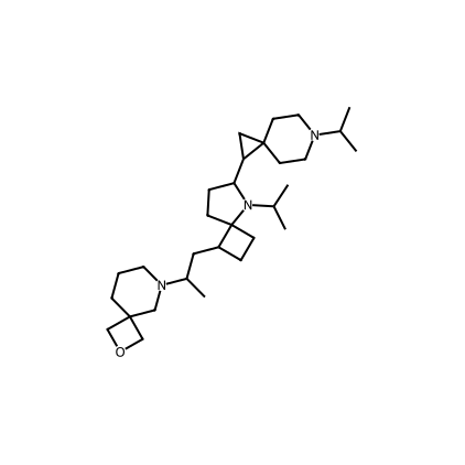 CC(C)N1CCC2(CC1)CC2C1CCC2(CCC2CC(C)N2CCCC3(COC3)C2)N1C(C)C